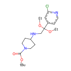 CCOC(CNC1CCN(C(=O)OC(C)(C)C)CC1)(OCC)c1ccnc(Cl)c1